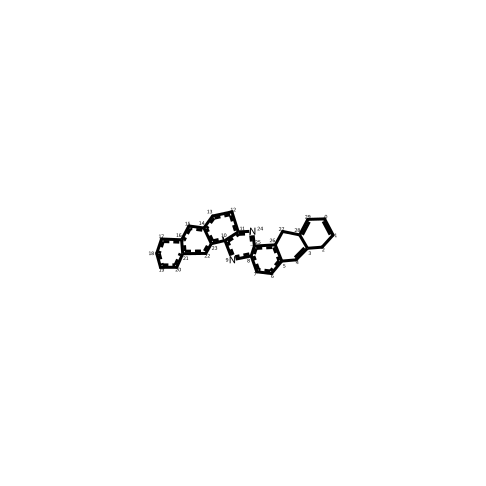 C1=CCC2=Cc3ccc4nc5c(ccc6cc7ccccc7cc65)nc4c3CC2=C1